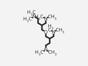 CN(C)CCC(COCC(CCN(C)C)CN(C)C)CN(C)C